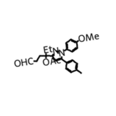 CCC(CCC=O)(OC(C)=O)c1cc(-c2ccc(C)cc2)n(-c2ccc(OC)cc2)n1